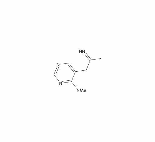 CNc1ncncc1CC(C)=N